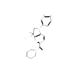 Cc1ccc(N2CC(C)(C)c3nc(C(=O)N4CCCCC4)ccc32)cc1F